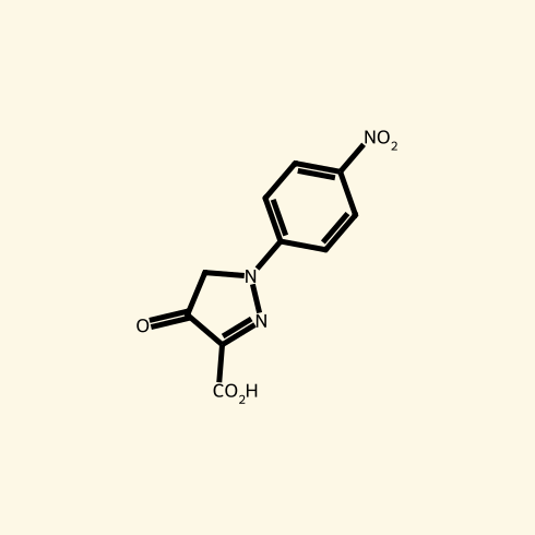 O=C(O)C1=NN(c2ccc([N+](=O)[O-])cc2)CC1=O